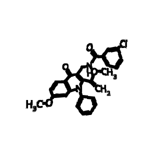 C=C(OC)c1c(CNC(=O)c2cccc(Cl)c2)c(=O)c2ccc(OC)cc2n1-c1ccccc1